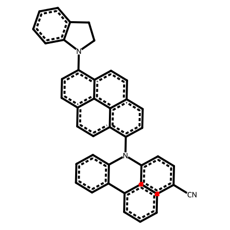 N#Cc1ccc(N(c2ccccc2-c2ccccc2)c2ccc3ccc4c(N5CCc6ccccc65)ccc5ccc2c3c54)cc1